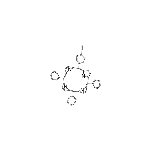 C#Cc1ccc(C2=C3C=CC(=N3)C(c3ccccc3)=C3C=CC(=N3)C(c3ccccc3)=C3C=CC(=N3)C(c3ccccc3)=C3C=CC2=N3)cc1